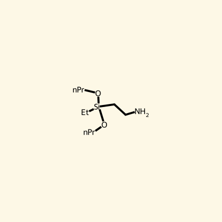 CCCO[Si](CC)(CCN)OCCC